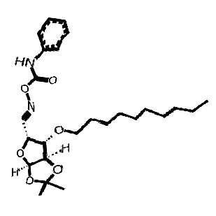 CCCCCCCCCCO[C@@H]1[C@H]2OC(C)(C)O[C@H]2O[C@@H]1C=NOC(=O)Nc1ccccc1